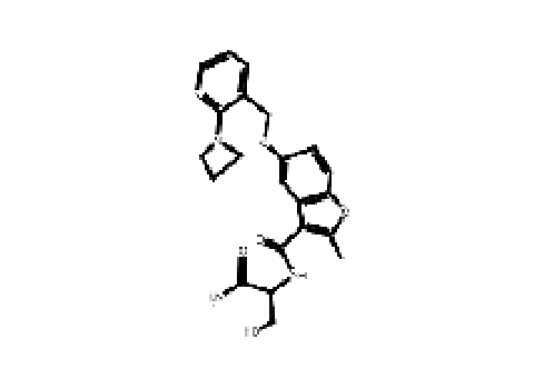 Cc1oc2ccc(OCc3cccnc3N3CCC3)cc2c1C(=O)N[C@@H](CO)C(N)=O